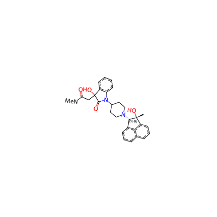 CNC(=O)CC1(O)C(=O)N(C2CCN([C@H]3c4cccc5cccc(c45)[C@@]3(C)O)CC2)c2ccccc21